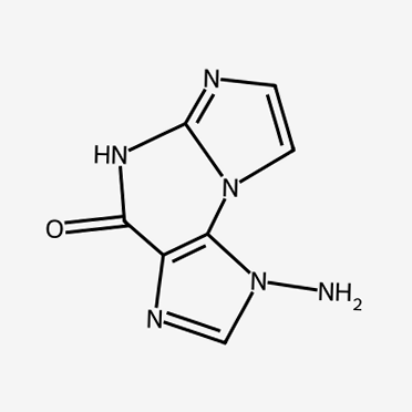 Nn1cnc2c(=O)[nH]c3nccn3c21